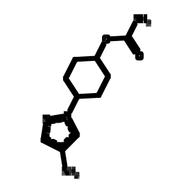 NC(=O)OC1CCC(n2cc(N)cn2)CC1